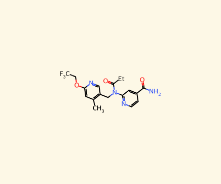 CCC(=O)N(Cc1cnc(OCC(F)(F)F)cc1C)c1cc(C(N)=O)ccn1